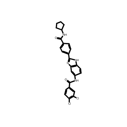 O=C(Nc1ccc2[nH]c(-c3ccc(C(=O)NC4CCCC4)cc3)nc2c1)c1ccc(Cl)c(Cl)c1